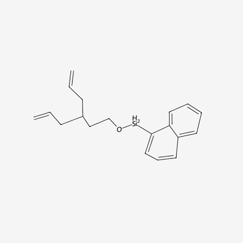 C=CCC(CC=C)CCO[SiH2]c1cccc2ccccc12